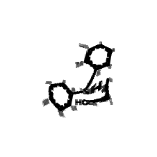 CCO.c1ccc([SiH2]c2ccccc2)cc1